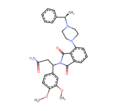 COc1ccc(C(CC(N)=O)N2C(=O)c3cccc(N4CCN([C@H](C)c5ccccc5)CC4)c3C2=O)cc1OC